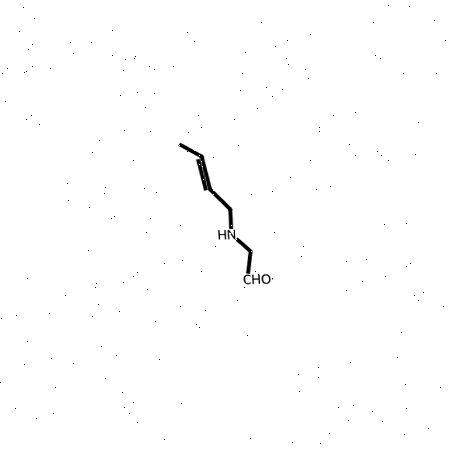 C/C=C/CNC[C]=O